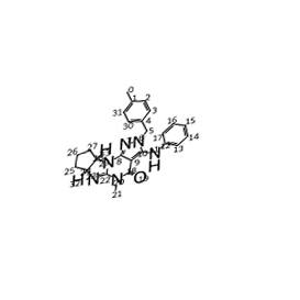 Cc1ccc(Cn2nc3c(c2Nc2ccccc2)C(=O)N(C)C2=N[C@@H]4CCC[C@@H]4N23)cc1